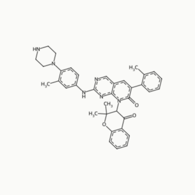 Cc1ccccc1-c1cc2cnc(Nc3ccc(N4CCNCC4)c(C)c3)nc2n(C2C(=O)c3ccccc3OC2(C)C)c1=O